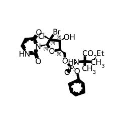 CCOC(=O)C(C)(C)N[P@](=O)(OC[C@H]1O[C@@H](n2c(=O)cc[nH]c2=O)[C@](Cl)(Br)[C@@H]1O)Oc1ccccc1